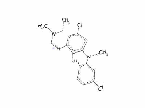 CCN(C)/C=N\c1cc(Cl)cc(N(C)c2cccc(Cl)c2)c1C